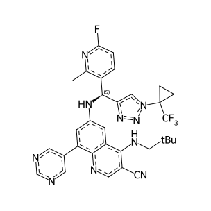 Cc1nc(F)ccc1[C@H](Nc1cc(-c2cncnc2)c2ncc(C#N)c(NCC(C)(C)C)c2c1)c1cn(C2(C(F)(F)F)CC2)nn1